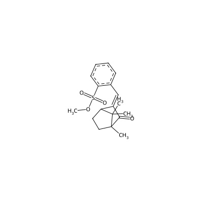 COS(=O)(=O)c1ccccc1C=C1C(=O)C2(C)CCC1C2(C)C